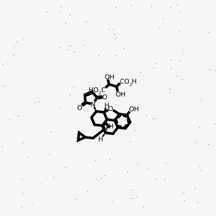 O=C(O)C(O)C(O)C(=O)O.O=C1C=CC(=O)N1[C@@H]1CCC2(O)[C@H]3Cc4ccc(O)c5c4[C@@]2(CCN3CC2CC2)[C@H]1O5